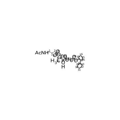 CC(=O)NCCCS(=O)(=O)OCC(C)(C)[C@@H](O)C(=O)OCOC(=O)Oc1ccccc1-c1ccccc1